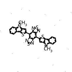 Cn1c2ccccc2c2sc(-c3c4c(c(-c5cc6c(s5)c5ccccc5n6C)c5nsnc35)N=S=N4)cc21